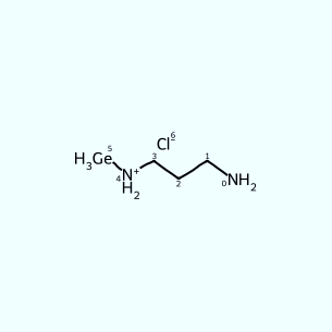 NCCC[NH2+][GeH3].[Cl-]